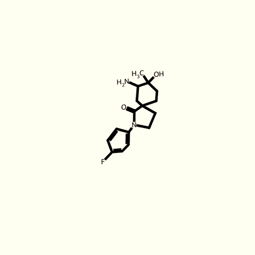 CC1(O)CCC2(CCN(c3ccc(F)cc3)C2=O)CC1N